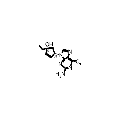 CC[C@@]1(O)C=C[C@H](n2cnc3c(OC)nc(N)nc32)C1